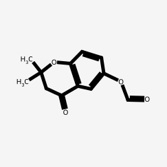 CC1(C)CC(=O)c2cc(OC=O)ccc2O1